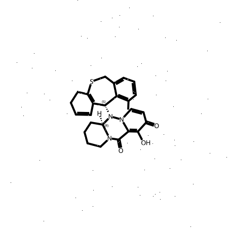 Cc1cccc2c1[C@H](N1[C@@H]3CCCCN3C(=O)c3c(O)c(=O)ccn31)C1=C(CCC=C1)SC2